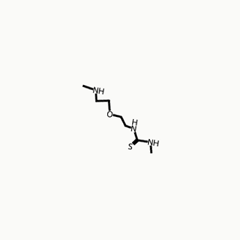 CNCCOCCNC(=S)NC